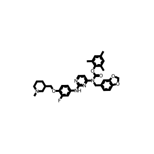 Cc1cc(C)c(OC(=O)N(Cc2ccc3c(c2)OCO3)c2ccnc(Nc3ccc(OCC4CCCN(C)C4)c(F)c3)n2)c(C)c1